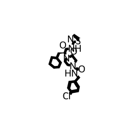 O=C(Nc1nccs1)[C@H](CC1CCCCC1)N1CCN(C(=O)NCc2ccc(Cl)cc2)CC1=O